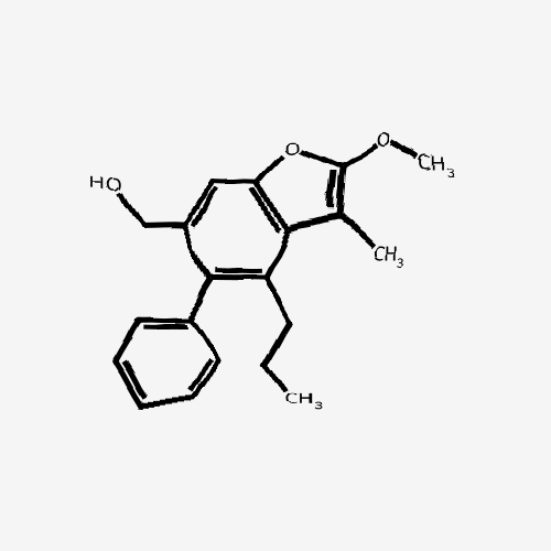 CCCc1c(-c2ccccc2)c(CO)cc2oc(OC)c(C)c12